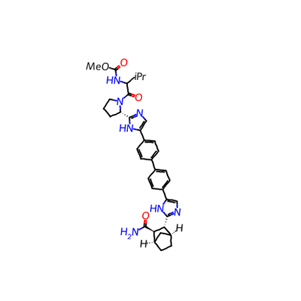 COC(=O)NC(C(=O)N1CCC[C@H]1c1ncc(-c2ccc(-c3ccc(-c4cnc([C@@H]5[C@H]6CC[C@H](C6)[C@H]5C(N)=O)[nH]4)cc3)cc2)[nH]1)C(C)C